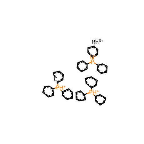 [Rh+3].c1ccc([PH+](c2ccccc2)c2ccccc2)cc1.c1ccc([PH+](c2ccccc2)c2ccccc2)cc1.c1ccc([PH+](c2ccccc2)c2ccccc2)cc1